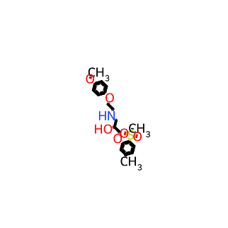 COc1ccc(OCCNCC(O)COc2cc(C)ccc2S(C)(=O)=O)cc1